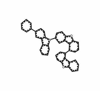 c1ccc(-c2ccc3c(c2)c2ccccc2n3-c2ccc3oc4cccc(-c5cccc6oc7ccccc7c56)c4c3c2)cc1